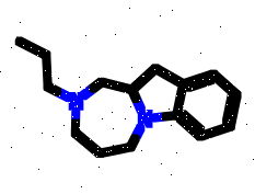 CCCN1CCCN2c3ccccc3CC2C1